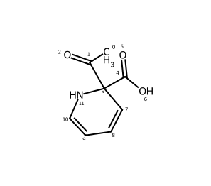 CC(=O)C1(C(=O)O)C=CC=CN1